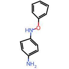 Nc1ccc(NOc2ccccc2)cc1